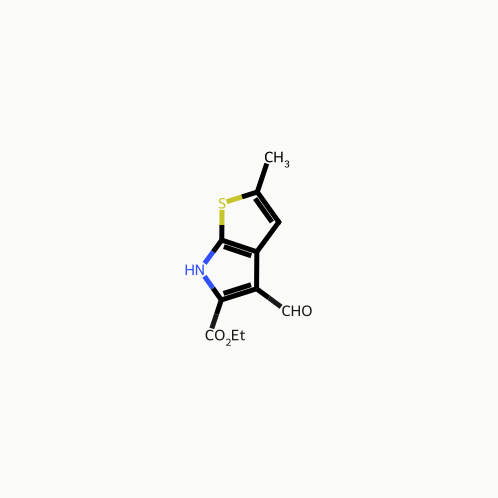 CCOC(=O)c1[nH]c2sc(C)cc2c1C=O